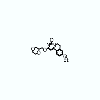 CCOc1ccc2c(c1)CCn1c-2cc(OCC2COCCO2)nc1=O